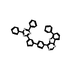 c1ccc(-c2nc(-c3ccccc3)nc(-c3cccc(-c4ccc(-c5ncnc6c5sc5c(-c7ccccc7)cccc56)cc4)c3)n2)cc1